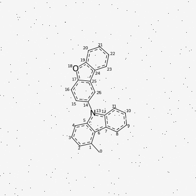 Cc1cccc2c1c1ccccc1n2-c1ccc2oc3ccccc3c2c1